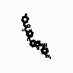 CC1CCN(CC(=O)Nc2cc(Oc3ccc4c(c3)nc(Nc3ccc(C(F)(F)F)cc3)n4C)ccn2)CC1